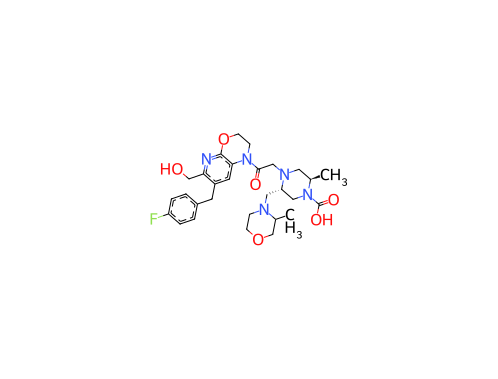 CC1COCCN1C[C@H]1CN(C(=O)O)[C@H](C)CN1CC(=O)N1CCOc2nc(CO)c(Cc3ccc(F)cc3)cc21